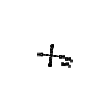 O.O=S(=O)(O)O.[BeH2]